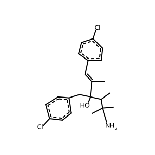 CC(=Cc1ccc(Cl)cc1)C(O)(Cc1ccc(Cl)cc1)C(C)C(C)(C)N